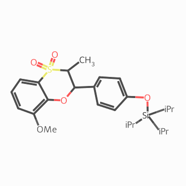 COc1cccc2c1OC(c1ccc(O[Si](C(C)C)(C(C)C)C(C)C)cc1)C(C)S2(=O)=O